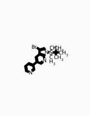 CC(C)(C)[Si](C)(C)n1cc(Br)c2cc(-c3cccnc3)cnc21